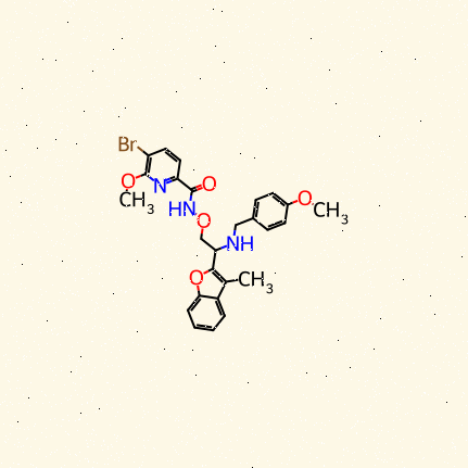 COc1ccc(CNC(CONC(=O)c2ccc(Br)c(OC)n2)c2oc3ccccc3c2C)cc1